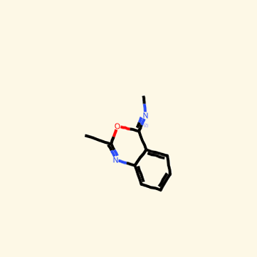 C/N=c1\oc(C)nc2ccccc12